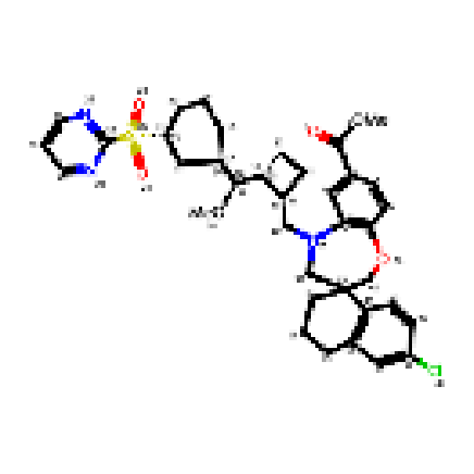 COC(=O)c1ccc2c(c1)N(C[C@@H]1CC[C@H]1[C@@H](OC)[C@@H]1CCC[C@@H](S(=O)(=O)c3ncccn3)C1)CC1(CCCc3cc(Cl)ccc31)CO2